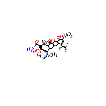 COC1C(C(N)=O)=C(O)[C@@H](N(C)C)C2CC3Cc4c(C(F)=C(F)F)cc([N+](=O)[O-])c(O)c4C(=O)C3=C(O)C12